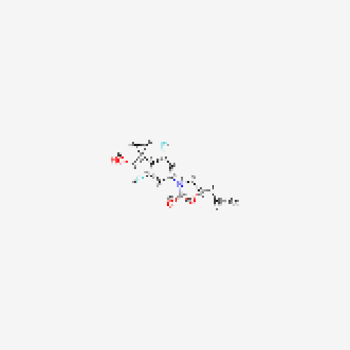 CC(=O)NC[C@H]1CN(c2cc(F)c(C3(CO)CC3)c(F)c2)C(=O)O1